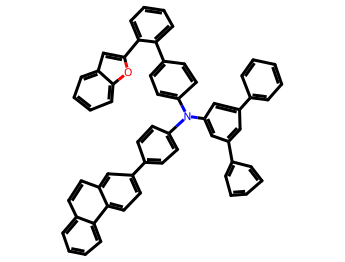 c1ccc(-c2cc(-c3ccccc3)cc(N(c3ccc(-c4ccc5c(ccc6ccccc65)c4)cc3)c3ccc(-c4ccccc4-c4cc5ccccc5o4)cc3)c2)cc1